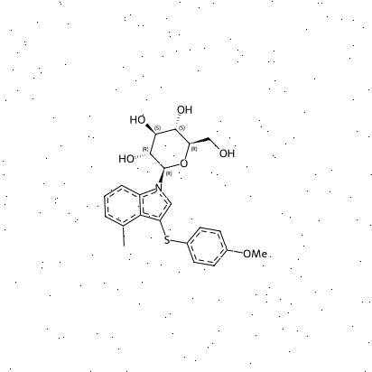 COc1ccc(Sc2cn([C@@H]3O[C@H](CO)[C@@H](O)[C@H](O)[C@H]3O)c3cccc(C)c23)cc1